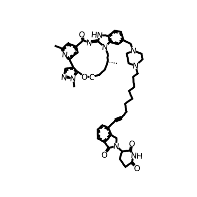 Cc1cc2cc(n1)-c1cnn(C)c1OCCC[C@@H](C)CN1/C(=N/C2=O)Nc2ccc(CN3CCN(CCCCCCCC#Cc4cccc5c4CN(C4CCC(=O)NC4=O)C5=O)CC3)cc21